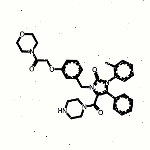 Cc1ccccc1-n1c(-c2ccccc2)c(C(=O)N2CCNCC2)n(Cc2cccc(OCC(=O)N3CCOCC3)c2)c1=O